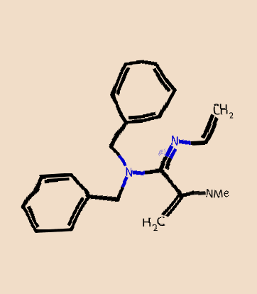 C=C/N=C(\C(=C)NC)N(Cc1ccccc1)Cc1ccccc1